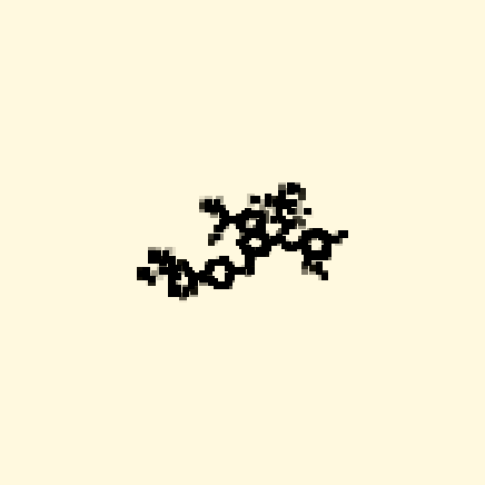 Cc1cc(F)ccc1CN(C(=O)OC(C)(C)C)c1cc(SC2CCN(C(=O)OC(C)(C)C)CC2)nn2c(C(C)C)cnc12